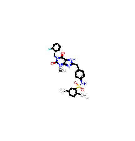 CCCCn1c(=O)n(Cc2ccccc2F)c(=O)c2[nH]c(Cc3ccc(NS(=O)(=O)c4cc(C)ccc4C)cc3)nc21